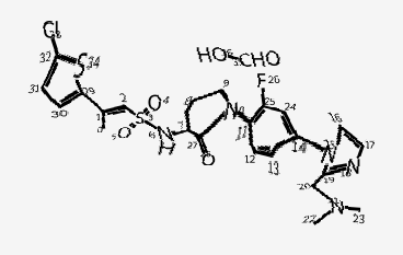 C/C(=C\S(=O)(=O)N[C@H]1CCN(c2ccc(-n3ccnc3CN(C)C)cc2F)C1=O)c1ccc(Cl)s1.O=CO